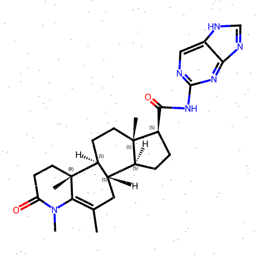 CC1=C2N(C)C(=O)CC[C@]2(C)[C@H]2CC[C@]3(C)[C@@H](C(=O)Nc4ncc5[nH]cnc5n4)CC[C@H]3[C@@H]2C1